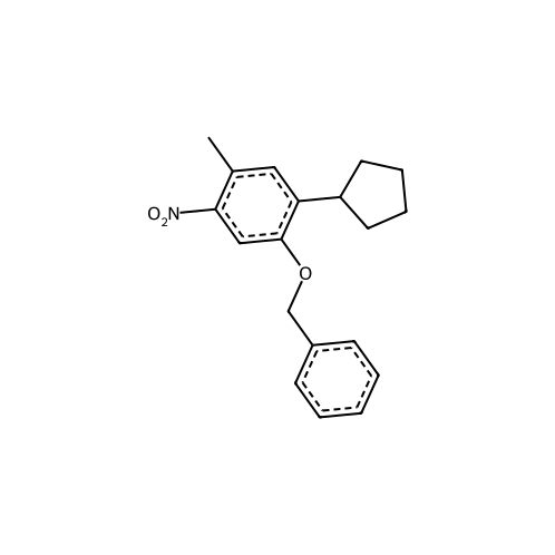 Cc1cc(C2CCCC2)c(OCc2ccccc2)cc1[N+](=O)[O-]